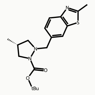 Cc1nc2ccc(CN3C[C@@H](C)CN3C(=O)OC(C)(C)C)cc2s1